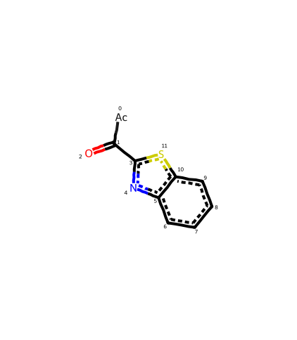 CC(=O)C(=O)c1nc2ccccc2s1